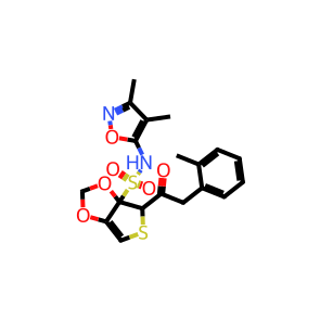 Cc1ccccc1CC(=O)C1SC=C2OCOC21S(=O)(=O)Nc1onc(C)c1C